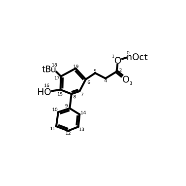 CCCCCCCCOC(=O)CCc1cc(-c2ccccc2)c(O)c(C(C)(C)C)c1